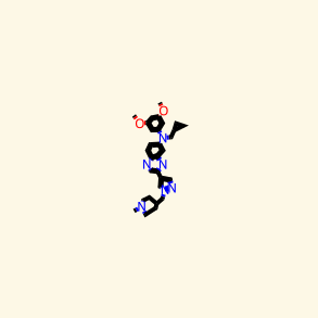 COc1cc(OC)cc(N(CC2CC2)c2ccc3ncc(-c4cnn(CC5CCN(C)CC5)c4)nc3c2)c1